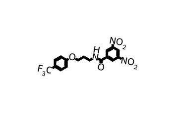 O=C(NCCCOc1ccc(C(F)(F)F)cc1)c1cc([N+](=O)[O-])cc([N+](=O)[O-])c1